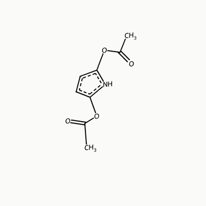 CC(=O)Oc1ccc(OC(C)=O)[nH]1